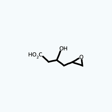 O=C(O)CC(O)CC1CO1